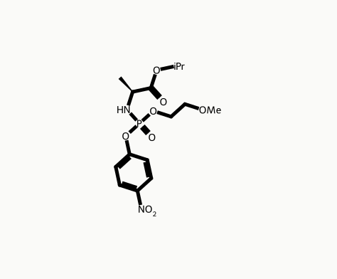 COCCOP(=O)(N[C@@H](C)C(=O)OC(C)C)Oc1ccc([N+](=O)[O-])cc1